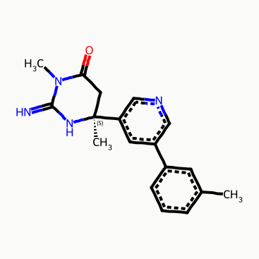 Cc1cccc(-c2cncc([C@]3(C)CC(=O)N(C)C(=N)N3)c2)c1